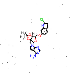 CC1(C)O[C@@H]2[C@H](O1)[C@@H](COc1ccc3ccc(Cl)nc3c1)O[C@H]2n1ccc2c(N)ncnc21